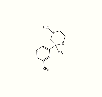 Cc1cccc(C2(C)CN(C)CCO2)c1